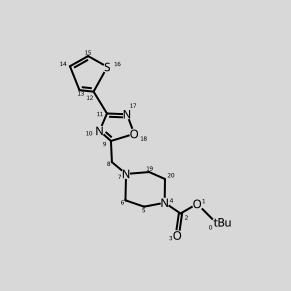 CC(C)(C)OC(=O)N1CCN(Cc2nc(-c3cccs3)no2)CC1